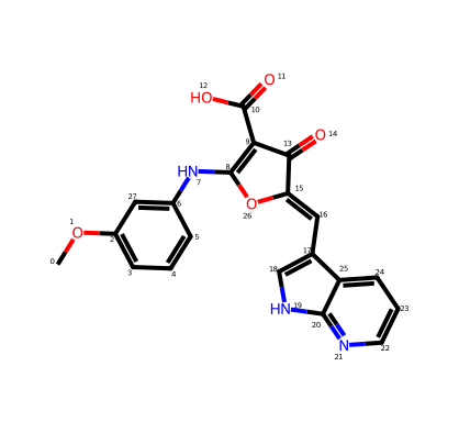 COc1cccc(NC2=C(C(=O)O)C(=O)C(=Cc3c[nH]c4ncccc34)O2)c1